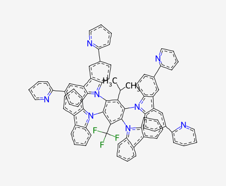 CC(C)c1c(-n2c3ccc(-c4ccccn4)cc3c3cc(-c4ccccn4)ccc32)c(-n2c3ccccc3c3ccccc32)c(C(F)(F)F)c(-n2c3ccccc3c3ccccc32)c1-n1c2ccc(-c3ccccn3)cc2c2cc(-c3ccccn3)ccc21